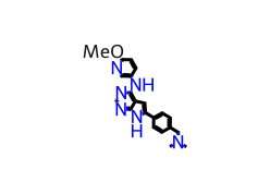 COc1ccc(Nc2ncnc3[nH]c(-c4ccc(CN(C)C)cc4)cc23)cn1